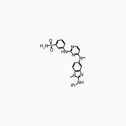 CC(C)Nc1nc2cc(N(C)c3ccnc(Nc4cccc(S(N)(=O)=O)c4)n3)ccc2n1C